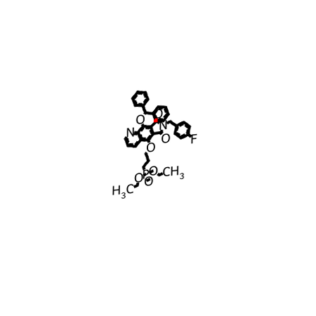 CCOP(=O)(CCCOc1c2c(c(OC(c3ccccc3)c3ccccc3)c3ncccc13)C(=O)N(Cc1ccc(F)cc1)C2=O)OCC